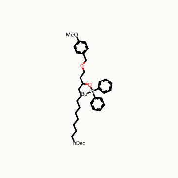 CCCCCCCCCCCCCCCCCCCC(CCOCc1ccc(OC)cc1)O[Si](c1ccccc1)(c1ccccc1)C(C)(C)C